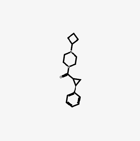 O=C(C1C[C@H]1c1ccccc1)N1CCN(C2CCC2)CC1